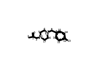 C=C(C)CN1CCN(Cc2ccc(C)cc2)CC1